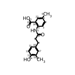 Cc1ccc(NC(=O)CCc2ccc(O)c(C)c2)c(C(=O)O)c1